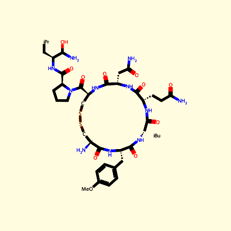 CC[C@H](C)[C@@H]1NC(=O)[C@H](Cc2ccc(OC)cc2)NC(=O)[C@@H](N)CSSC[C@@H](C(=O)N2CCC[C@H]2C(=O)N[C@@H](CC(C)C)C(N)O)NC(=O)[C@H](CC(N)=O)NC(=O)[C@H](CCC(N)=O)NC1=O